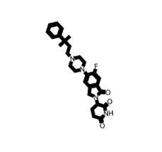 CC(C)(CCN1CCN(c2cc3c(cc2F)C(=O)N(C2CCC(=O)NC2=O)C3)CC1)c1ccccc1